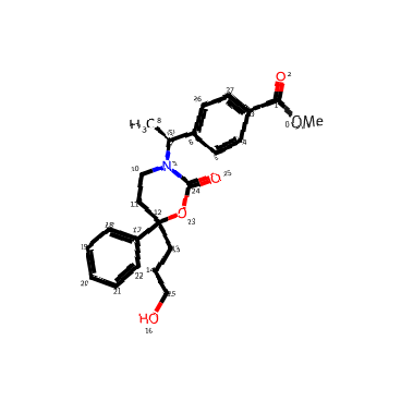 COC(=O)c1ccc([C@H](C)N2CCC(CCCO)(c3ccccc3)OC2=O)cc1